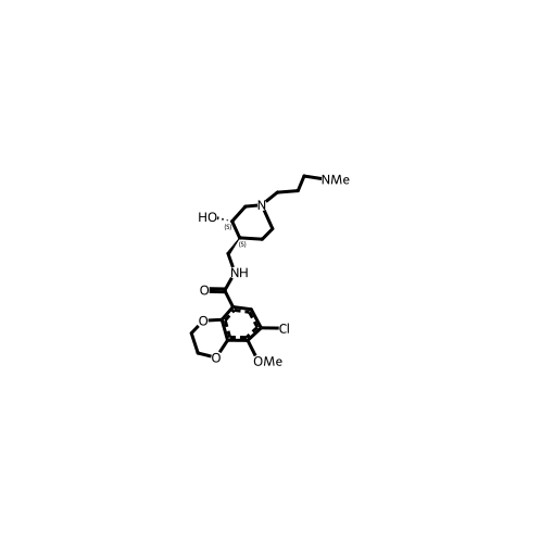 CNCCCN1CC[C@@H](CNC(=O)c2cc(Cl)c(OC)c3c2OCCO3)[C@H](O)C1